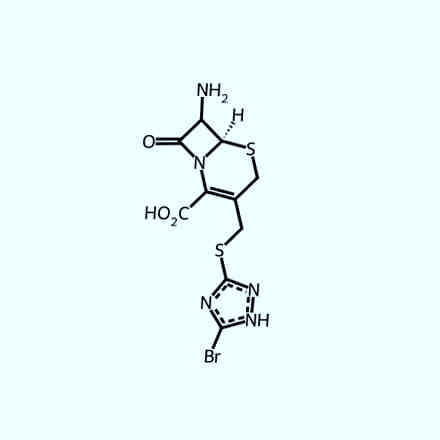 NC1C(=O)N2C(C(=O)O)=C(CSc3n[nH]c(Br)n3)CS[C@H]12